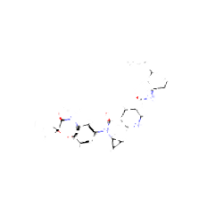 CCCCCN1C(=O)C(C)(C)Oc2ccc(N(C(=O)[C@H]3CNC[C@@H](C(=O)N[C@@H](CCOC)CC(C)C)C3)C3CC3)cc21